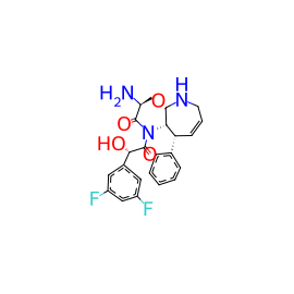 C[C@H](N)C(=O)N(C(=O)[C@@H](O)c1cc(F)cc(F)c1)[C@@H]1C(=O)NCC=C[C@@H]1c1ccccc1